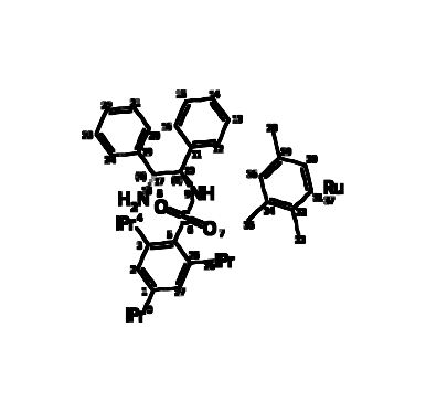 CC(C)c1cc(C(C)C)c(S(=O)(=O)N[C@H](c2ccccc2)[C@H](N)c2ccccc2)c(C(C)C)c1.Cc1ccc(C)c(C)c1.[Ru]